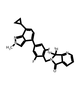 [2H]C1([2H])c2ncccc2C(=O)N1Cc1c(F)cc(-c2ccc(C3CC3)c3nn(C)cc23)cc1F